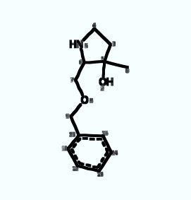 CC1(O)CCNC1COCc1ccccc1